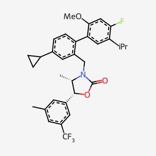 COc1cc(F)c(C(C)C)cc1-c1ccc(C2CC2)cc1CN1C(=O)O[C@H](c2cc(C)cc(C(F)(F)F)c2)[C@@H]1C